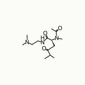 CC(=O)N(C)[C@@H](CC(=O)C(C)C)C(=O)NCCN(C)C